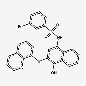 O=S(=O)(Nc1cc(Sc2cccc3cccnc23)c(O)c2ccccc12)c1cccc(Br)c1